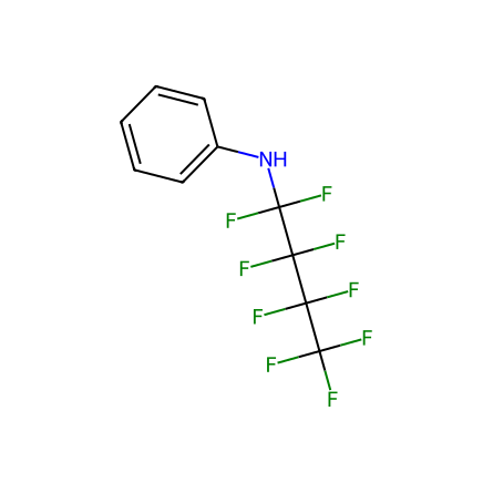 FC(F)(F)C(F)(F)C(F)(F)C(F)(F)Nc1ccccc1